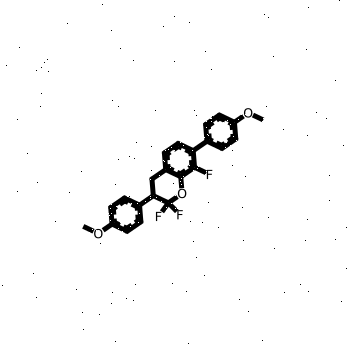 COc1ccc(-c2ccc3c(c2F)OC(F)(F)C(c2ccc(OC)cc2)C3)cc1